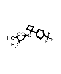 C=C(CC(=O)OC1(c2ccc(C(F)(F)F)cc2)CCC1)C(=O)O